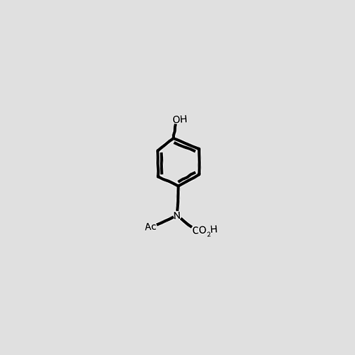 CC(=O)N(C(=O)O)c1ccc(O)cc1